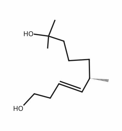 C[C@H](C=CCCO)CCCC(C)(C)O